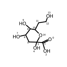 O=C(O)C1(O)CC(O)C(O)C(CCO)O1